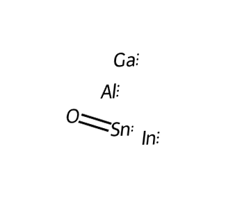 [Al].[Ga].[In].[O]=[Sn]